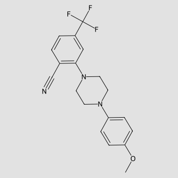 COc1ccc(N2CCN(c3cc(C(F)(F)F)ccc3C#N)CC2)cc1